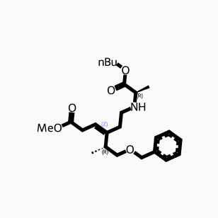 CCCCOC(=O)[C@@H](C)NCC/C(=C/CC(=O)OC)[C@@H](C)COCc1ccccc1